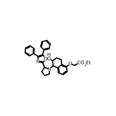 CCOC(=O)COc1cccc2c1CCC(O)C2N1CCCC1c1nc(-c2ccccc2)c(-c2ccccc2)o1